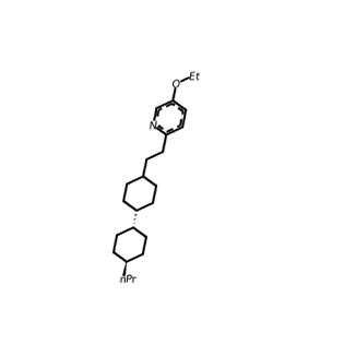 CCC[C@H]1CC[C@H](C2CCC(CCc3ccc(OCC)cn3)CC2)CC1